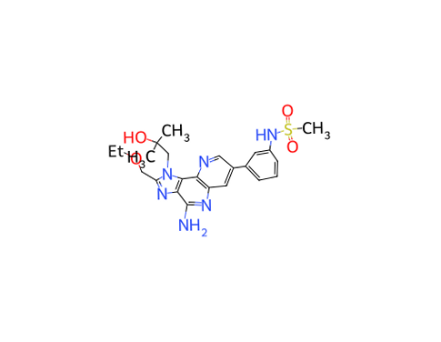 CCOCc1nc2c(N)nc3cc(-c4cccc(NS(C)(=O)=O)c4)cnc3c2n1CC(C)(C)O